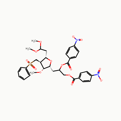 COC(C[C@@H]1O[C@H](CC(COC(=O)c2ccc([N+](=O)[O-])cc2)OC(=O)c2ccc([N+](=O)[O-])cc2)[C@H](OC)[C@H]1CS(=O)(=O)c1ccccc1)OC